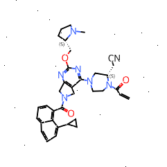 C=CC(=O)N1CCN(c2nc(OC[C@@H]3CCCN3C)nc3c2CN(C(=O)c2cccc4cccc(C5CC5)c24)C3)C[C@@H]1CC#N